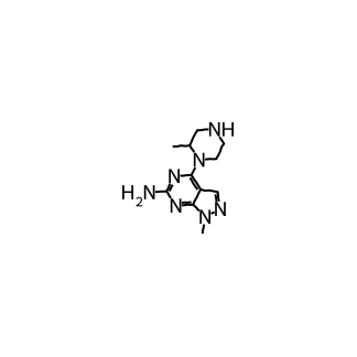 CC1CNCCN1c1nc(N)nc2c1cnn2C